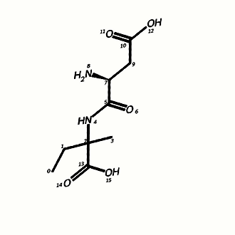 CCC(C)(NC(=O)[C@@H](N)CC(=O)O)C(=O)O